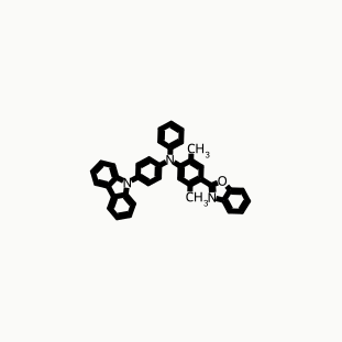 Cc1cc(N(c2ccccc2)c2ccc(-n3c4ccccc4c4ccccc43)cc2)c(C)cc1-c1nc2ccccc2o1